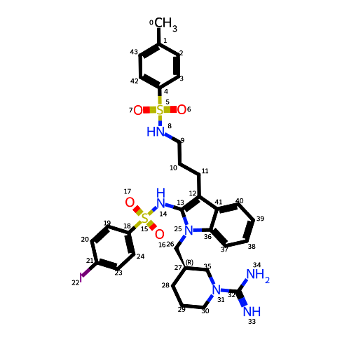 Cc1ccc(S(=O)(=O)NCCCc2c(NS(=O)(=O)c3ccc(I)cc3)n(C[C@@H]3CCCN(C(=N)N)C3)c3ccccc23)cc1